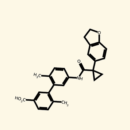 Cc1ccc(NC(=O)C2(c3ccc4c(c3)CCO4)CC2)cc1-c1cc(C(=O)O)ccc1C